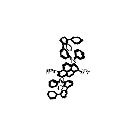 CC(C)c1cc(N(c2ccccc2)c2cccc3c2oc2c(C4CCCCC4)cccc23)c2ccc3c(C(C)C)cc(N(c4ccccc4)c4cccc5c4oc4c(C6CCCCC6)cccc45)c4ccc1c2c34